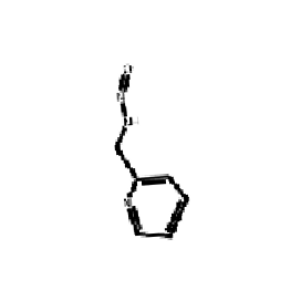 O=NNCc1ccccn1